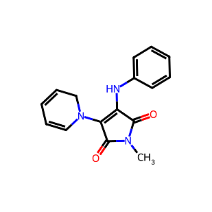 CN1C(=O)C(Nc2ccccc2)=C(N2C=CC=CC2)C1=O